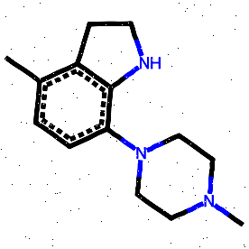 Cc1ccc(N2CCN(C)CC2)c2c1CCN2